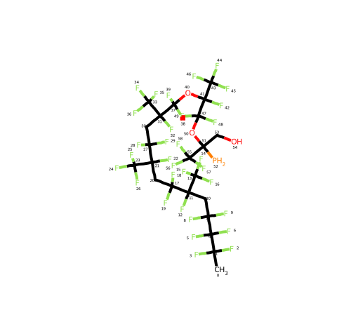 CC(F)(F)C(F)(F)C(F)(F)CC(F)(C(F)(F)F)C(F)(F)CC(F)(C(F)(F)F)C(F)(F)CC(F)(C(F)(F)F)C(F)(F)OC(F)(C(F)(F)F)C(F)(F)OC(P)(CO)C(F)(F)F